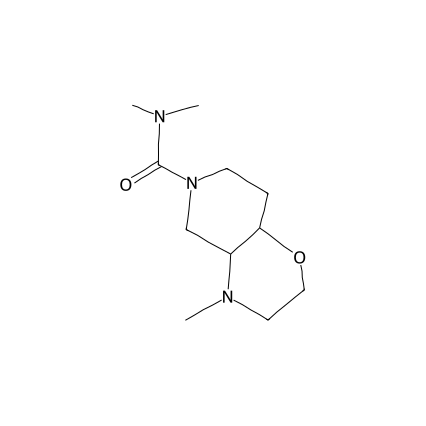 CN(C)C(=O)N1CCC2OCCN(C)C2C1